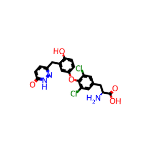 N[C@@H](Cc1cc(Cl)c(Oc2ccc(O)c(Cc3ccc(=O)[nH]n3)c2)c(Cl)c1)C(=O)O